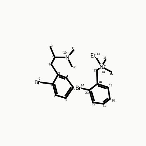 CC(Cc1ccccc1Br)N(C)C.CC[N+](C)(C)Cc1ccccc1Br